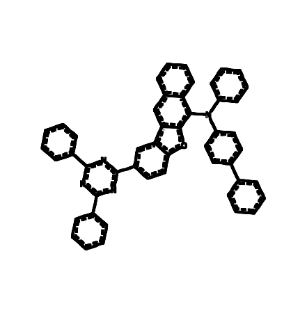 c1ccc(-c2ccc(N(c3ccccc3)c3c4ccccc4cc4c3oc3ccc(-c5nc(-c6ccccc6)nc(-c6ccccc6)n5)cc34)cc2)cc1